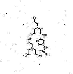 NC(=O)NN1CCNC1.OCCN(CCO)CCO.OCCN(CCO)CCO